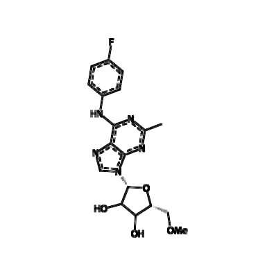 COC[C@H]1O[C@@H](n2cnc3c(Nc4ccc(F)cc4)nc(C)nc32)C(O)C1O